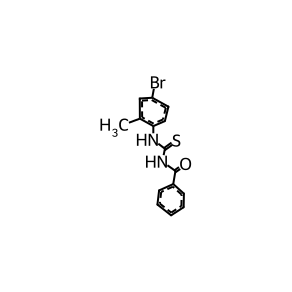 Cc1cc(Br)ccc1NC(=S)NC(=O)c1ccccc1